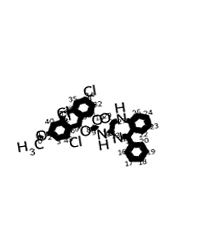 COc1cc(Cl)c([C@@H](OC(=O)N[C@H]2N=C(c3ccccc3)c3ccccc3NC2=O)c2ccc(Cl)cc2Cl)c(Cl)c1